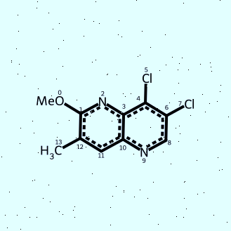 COc1nc2c(Cl)c(Cl)cnc2cc1C